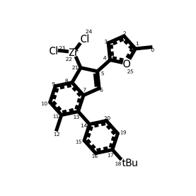 Cc1ccc(C2=Cc3c(ccc(C)c3-c3ccc(C(C)(C)C)cc3)[CH]2[Zr]([Cl])[Cl])o1